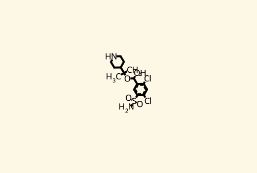 CC(C)(OC(O)c1cc(S(N)(=O)=O)c(Cl)cc1Cl)C1CCNCC1